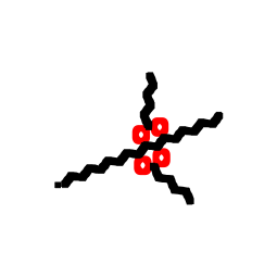 [CH2]CCCCCCCC(OC(=O)CCCCC)C(CCCCCCCC)OC(=O)CCCCC